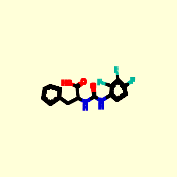 O=C(Nc1ccc(F)c(F)c1F)NC(Cc1ccccc1)C(=O)O